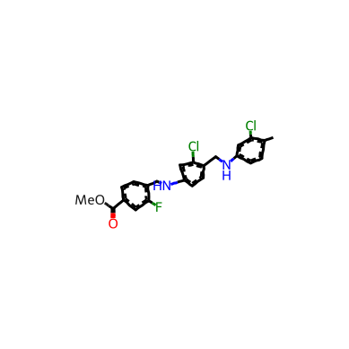 COC(=O)c1ccc(CNc2ccc(CNc3ccc(C)c(Cl)c3)c(Cl)c2)c(F)c1